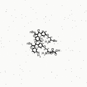 CCCCc1oc2ccc(N)cc2c1C(=O)c1ccc(OCCC(N)C(C)CC)cc1.CCCCc1oc2ccc(N)cc2c1C(=O)c1ccc(OCCC(N)C(C)CC)cc1.O=C(O)C(=O)O